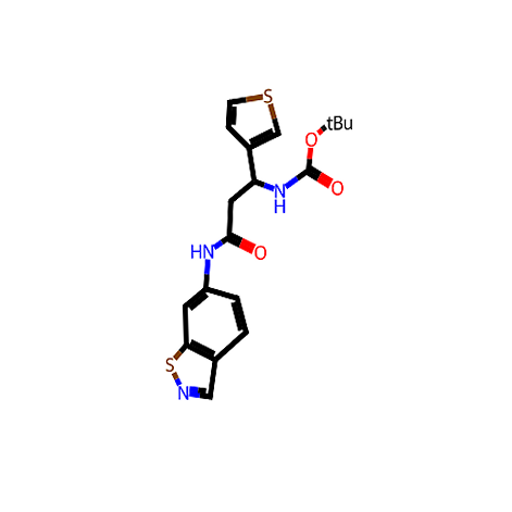 CC(C)(C)OC(=O)NC(CC(=O)Nc1ccc2cnsc2c1)c1ccsc1